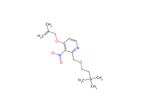 C=C(C)COc1ccnc([CH]OCC[Si](C)(C)C)c1[N+](=O)[O-]